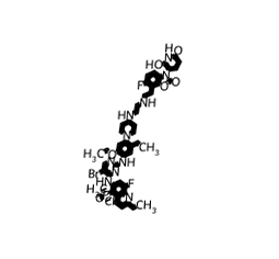 CCOc1cc(N2CCC(NCCNCCc3c(F)ccc4c3oc(=O)n4C3CCC(=O)NC3O)CC2)c(CC)cc1Nc1ncc(Br)c(Nc2cc(F)c3nc(CC)ccc3c2P(C)(C)=O)n1